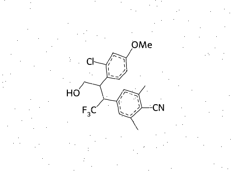 COc1ccc(C(CO)C(c2cc(C)c(C#N)c(C)c2)C(F)(F)F)c(Cl)c1